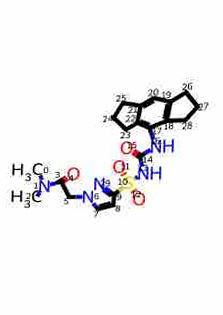 CN(C)C(=O)Cn1ccc(S(=O)(=O)NC(=O)Nc2c3c(cc4c2CCC4)CCC3)n1